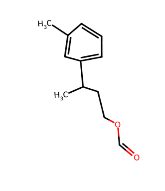 Cc1cccc(C(C)CCOC=O)c1